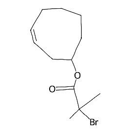 CC(C)(Br)C(=O)OC1C/C=C\CCCC1